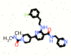 CN(C)C(=O)N1CC=C(c2ccc(C(=O)NCc3cccnc3)c(NCCc3cccc(F)c3)n2)CC1